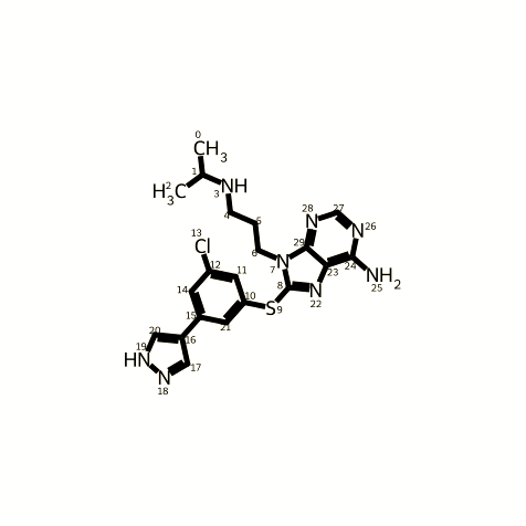 CC(C)NCCCn1c(Sc2cc(Cl)cc(-c3cn[nH]c3)c2)nc2c(N)ncnc21